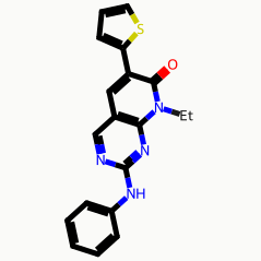 CCn1c(=O)c(-c2cccs2)cc2cnc(Nc3ccccc3)nc21